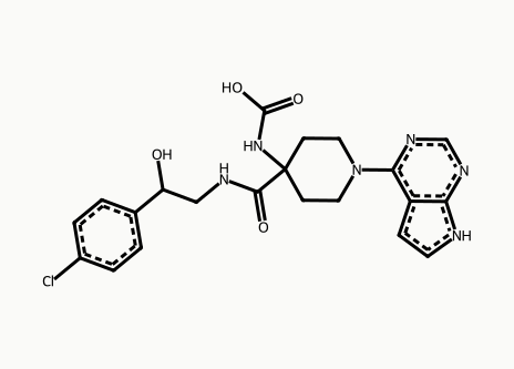 O=C(O)NC1(C(=O)NCC(O)c2ccc(Cl)cc2)CCN(c2ncnc3[nH]ccc23)CC1